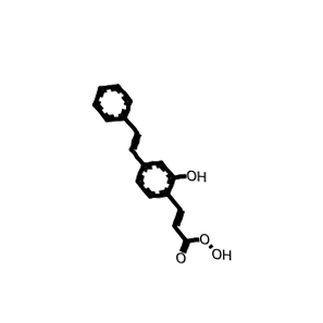 O=C(C=Cc1ccc(C=Cc2ccccc2)cc1O)OO